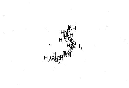 CC(C)NC(=O)COc1ccc(-c2nnc(Nc3ccc4c(cnn4CC(C)NC(=O)COC4=CC=C(c5nnc(Nc6ccc7[nH]ncc7c6)[nH]5)C(C)C4)c3)[nH]2)cn1